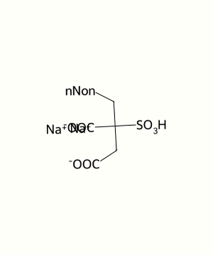 CCCCCCCCCCC(CC(=O)[O-])(C(=O)[O-])S(=O)(=O)O.[Na+].[Na+]